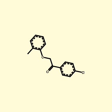 Cc1ccccc1OCC(=O)c1ccc(Cl)cc1